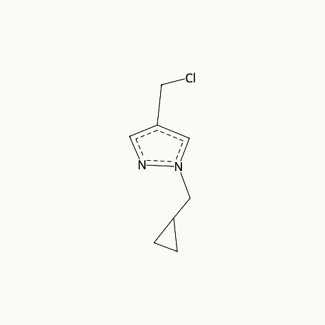 ClCc1cnn(CC2CC2)c1